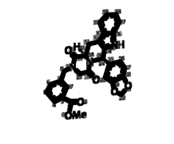 COC(=O)c1cccc(CN2CC(=O)N3[C@H](c4ccc5c(c4)OCO5)c4[nH]c5ccccc5c4C[C@@H]3C2=O)c1